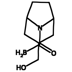 BC(=O)N1C2CCC1CC(CO)C2